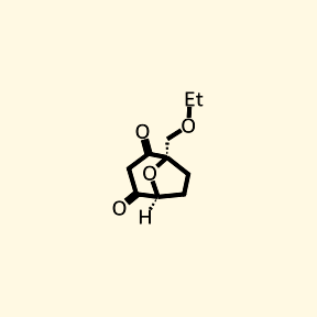 CCOC[C@]12CC[C@H](O1)C(=O)CC2=O